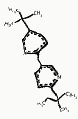 CC(C)(C)c1ccc(-c2ccc(C(C)(C)C)nc2)nc1